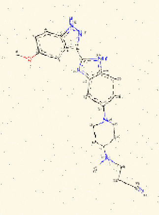 COc1ccc2[nH]nc(-c3nc4cc(N5CCC(N(C)CCC#N)CC5)ccc4[nH]3)c2c1